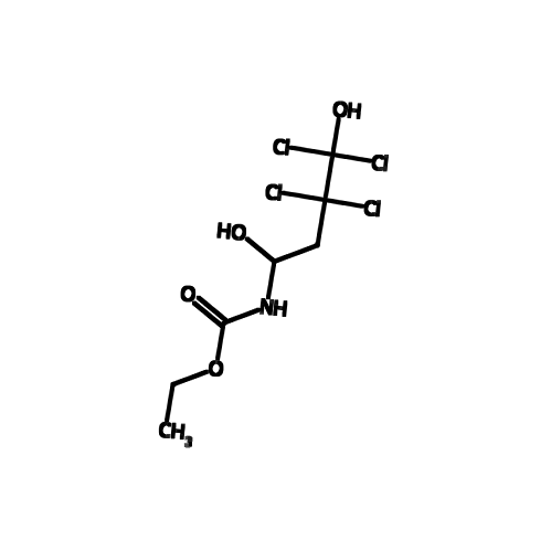 CCOC(=O)NC(O)CC(Cl)(Cl)C(O)(Cl)Cl